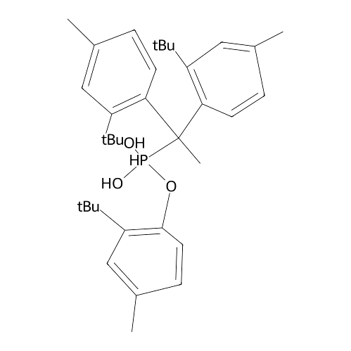 Cc1ccc(O[PH](O)(O)C(C)(c2ccc(C)cc2C(C)(C)C)c2ccc(C)cc2C(C)(C)C)c(C(C)(C)C)c1